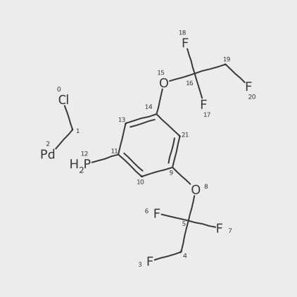 Cl[CH2][Pd].FCC(F)(F)Oc1cc(P)cc(OC(F)(F)CF)c1